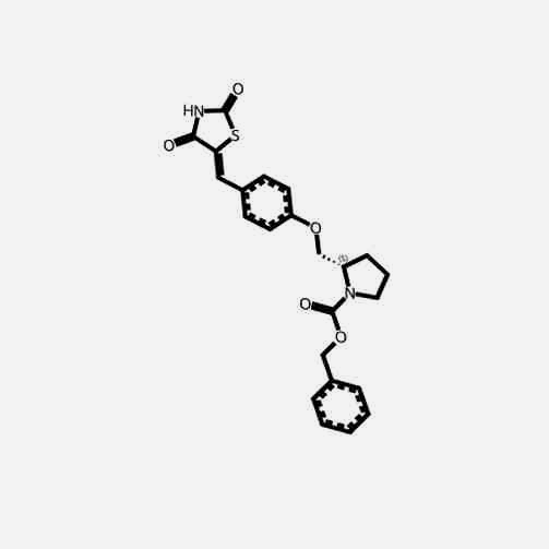 O=C1NC(=O)C(=Cc2ccc(OC[C@@H]3CCCN3C(=O)OCc3ccccc3)cc2)S1